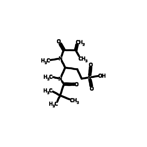 C=C(C)C(=O)N(C)C(CCS(=O)(=O)O)N(C)C(=O)C(C)(C)C